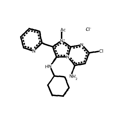 CC(=O)[n+]1c(-c2ccccn2)c(NC2CCCCC2)n2c(N)cc(Cl)nc21.[Cl-]